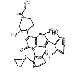 C=CC(=O)N1CCN(c2nc(=O)n(-c3c(C)ccnc3OC3CCC3)c3nc(-c4c(O)cccc4F)c(F)cc23)[C@@H](C)C1